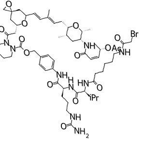 CC(=O)O[C@@H](C)/C=C\C(=O)N[C@@H]1C[C@H](C)[C@H](C/C=C(C)/C=C/C2C[C@]3(CO3)C[C@@H](CC(=O)N3CCCCN3C(=O)OCc3ccc(NC(=O)[C@H](CCCNC(N)=O)NC(=O)[C@@H](NC(=O)CCCCCNC(=O)CBr)C(C)C)cc3)O2)O[C@@H]1C